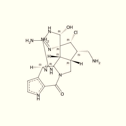 NC[C@@H]1[C@@H]2CN3C(=O)c4[nH]ccc4[C@@H]4N=C(N)N[C@@]43[C@@H]2[C@]2(N=C(N)N[C@@H]2O)[C@@H]1Cl